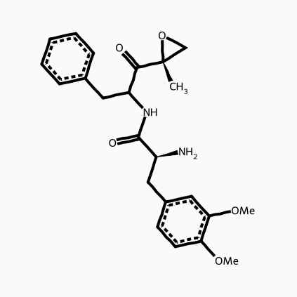 COc1ccc(C[C@H](N)C(=O)NC(Cc2ccccc2)C(=O)[C@@]2(C)CO2)cc1OC